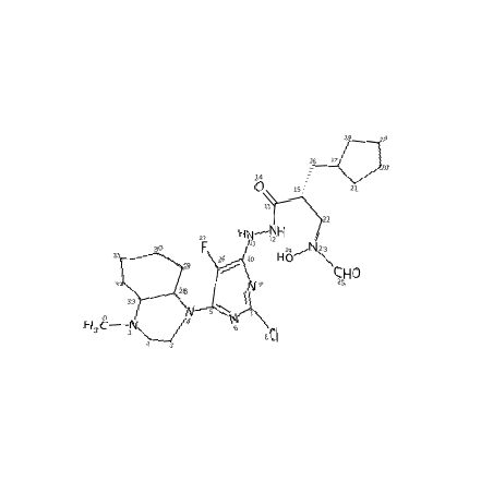 CN1CCN(c2nc(Cl)nc(NNC(=O)[C@H](CC3CCCC3)CN(O)C=O)c2F)C2CCCCC21